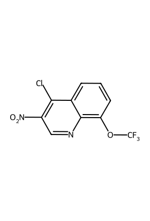 O=[N+]([O-])c1cnc2c(OC(F)(F)F)cccc2c1Cl